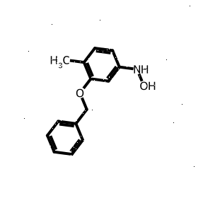 Cc1ccc(NO)cc1OCc1ccccc1